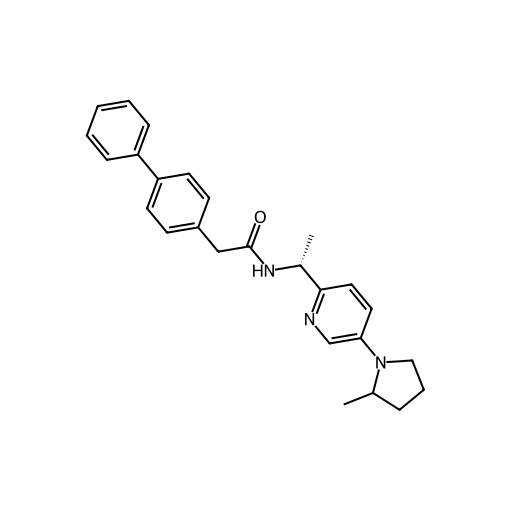 CC1CCCN1c1ccc([C@@H](C)NC(=O)Cc2ccc(-c3ccccc3)cc2)nc1